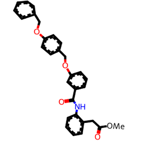 COC(=O)Cc1ccccc1NC(=O)c1cccc(OCc2ccc(OCc3ccccc3)cc2)c1